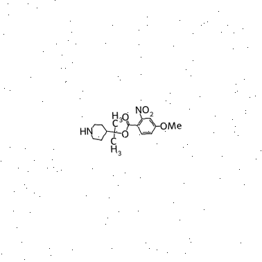 COc1ccc(C(=O)OC(C)(C)C2CCNCC2)c([N+](=O)[O-])c1